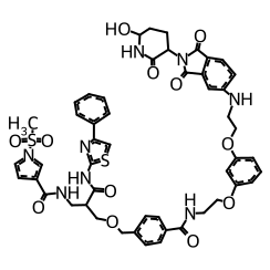 CS(=O)(=O)n1ccc(C(=O)NCC(COCc2ccc(C(=O)NCCOc3cccc(OCCNc4ccc5c(c4)C(=O)N(C4CCC(O)NC4=O)C5=O)c3)cc2)C(=O)Nc2nc(-c3ccccc3)cs2)c1